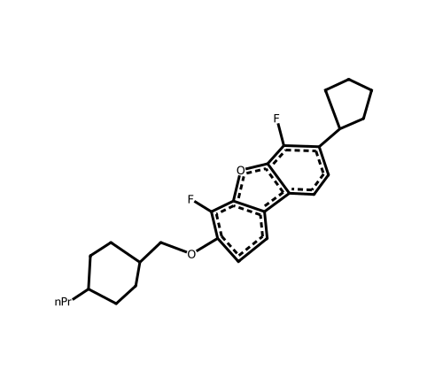 CCCC1CCC(COc2ccc3c(oc4c(F)c(C5CCCC5)ccc43)c2F)CC1